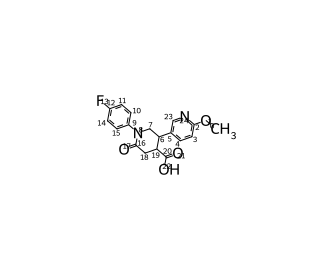 COc1ccc(C2CN(c3ccc(F)cc3)C(=O)CC2C(=O)O)cn1